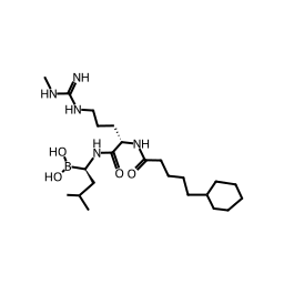 CNC(=N)NCCC[C@H](NC(=O)CCCCC1CCCCC1)C(=O)N[C@@H](CC(C)C)B(O)O